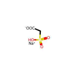 O=C([O-])CS(=O)(=O)O.[Na+]